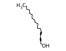 CCCCCCCCCCCCC#CC#CCO